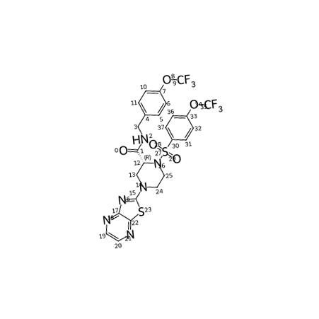 O=C(NCc1ccc(OC(F)(F)F)cc1)[C@H]1CN(c2nc3nccnc3s2)CCN1S(=O)(=O)c1ccc(OC(F)(F)F)cc1